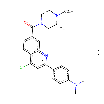 C[C@@H]1CN(C(=O)c2ccc3c(Cl)cc(-c4ccc(N(C)C)cc4)nc3c2)CCN1C(=O)O